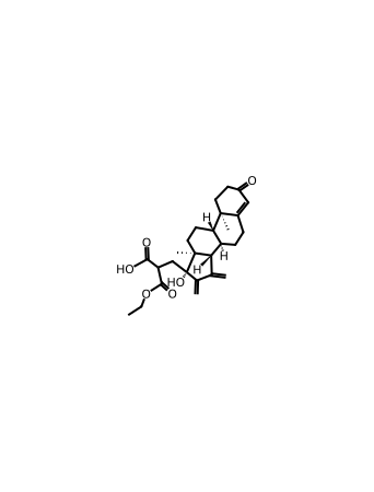 C=C1C(=C)[C@@](O)(CC(C(=O)O)C(=O)OCC)[C@@]2(C)CC[C@H]3[C@@H](CCC4=CC(=O)CC[C@@]43C)[C@H]12